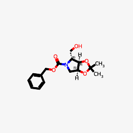 CC1(C)O[C@H]2[C@H](CN(C(=O)OCc3ccccc3)[C@@H]2CO)O1